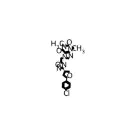 Cn1c(=O)c2c(ncn2Cc2nc([C@@H]3CO[C@@H](c4ccc(Cl)cc4)C3)no2)n(C)c1=O